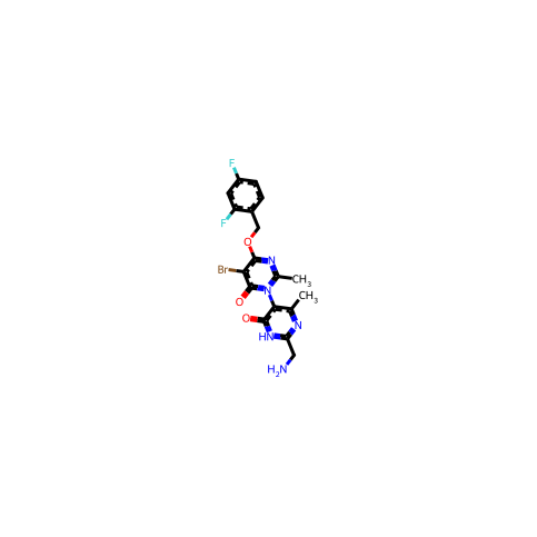 Cc1nc(CN)[nH]c(=O)c1-n1c(C)nc(OCc2ccc(F)cc2F)c(Br)c1=O